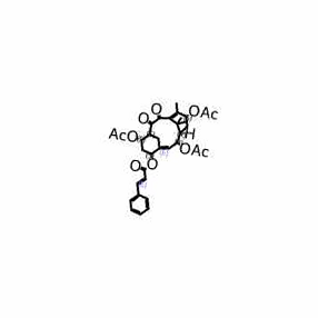 CC(=O)O[C@H]1C[C@H]2[C@@H](OC(C)=O)/C=C3\C[C@](C)(C(=O)C(=O)C(=C1C)C2(C)C)[C@@H](OC(C)=O)C[C@@H]3OC(=O)/C=C/c1ccccc1